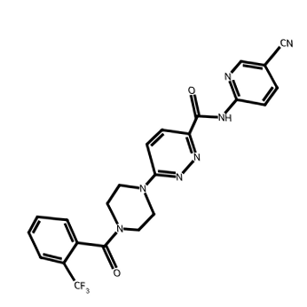 N#Cc1ccc(NC(=O)c2ccc(N3CCN(C(=O)c4ccccc4C(F)(F)F)CC3)nn2)nc1